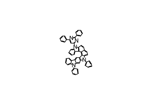 c1ccc(-c2cc(-n3c4ccccc4c4c5c(ccc6c5c5cc7c8ccccc8n(-c8ccccc8)c7cc5n6-c5ccccc5)ccc43)nc(-c3ccccc3)n2)cc1